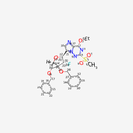 CCOc1nc(S(C)(=O)=O)nn2c([C@@H]3O[C@@H]4C(OCc5ccccc5)[C@]4(OCc4ccccc4)[C@H]3F)cnc12